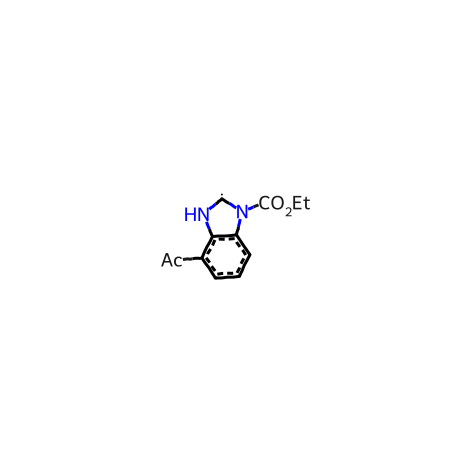 CCOC(=O)N1[CH]Nc2c(C(C)=O)cccc21